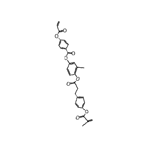 C=CC(=O)Oc1ccc(C(=O)Oc2ccc(OC(=O)CCc3ccc(OC(=O)C(=C)C)cc3)c(C)c2)cc1